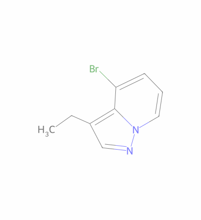 CCc1cnn2cccc(Br)c12